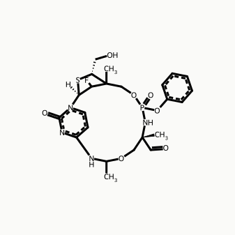 CC1Nc2ccn(c(=O)n2)[C@H]2S[C@H](CO)C(C)(COP(=O)(Oc3ccccc3)N[C@](C)(C=O)CO1)C2F